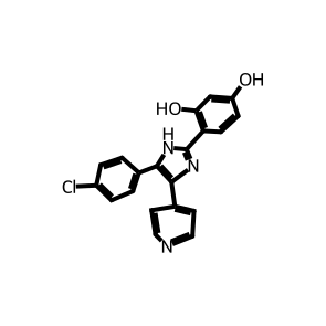 Oc1ccc(-c2nc(-c3ccncc3)c(-c3ccc(Cl)cc3)[nH]2)c(O)c1